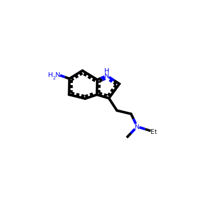 CCN(C)CCc1c[nH]c2cc(N)ccc12